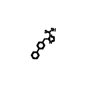 S=C(S)n1ccnc1Cc1ccc(-c2ccccc2)cc1